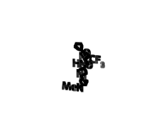 CNC1CCN(c2ccc(NC(=O)c3nc(-c4ccccc4)oc3C(F)(F)F)cn2)C1